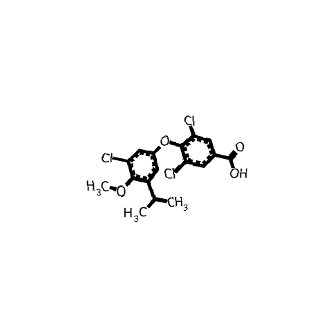 COc1c(Cl)cc(Oc2c(Cl)cc(C(=O)O)cc2Cl)cc1C(C)C